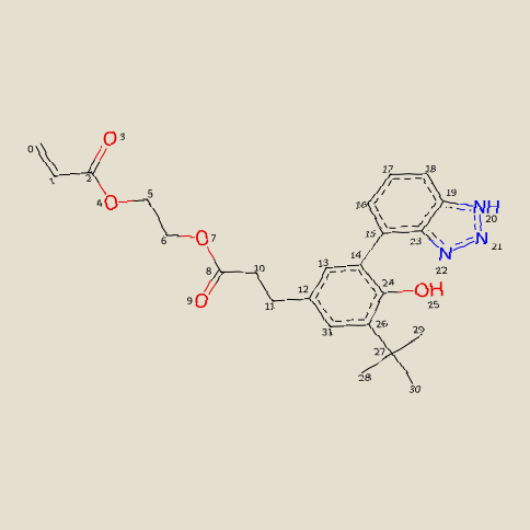 C=CC(=O)OCCOC(=O)CCc1cc(-c2cccc3[nH]nnc23)c(O)c(C(C)(C)C)c1